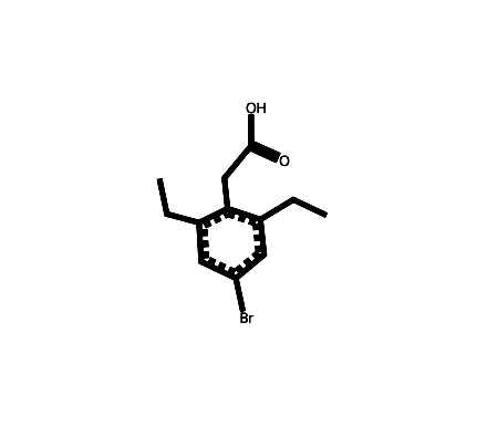 CCc1cc(Br)cc(CC)c1CC(=O)O